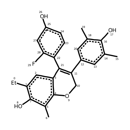 CCc1cc2c(c(C)c1O)OCC(c1cc(C)c(O)c(C)c1)=C2c1ccc(O)cc1F